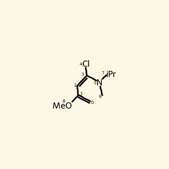 C=C(/C=C(/Cl)N(C)C(C)C)OC